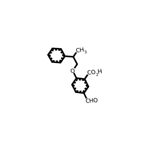 CC(COc1ccc(C=O)cc1C(=O)O)c1ccccc1